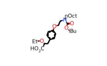 CCCCCCCCN(CCOc1ccc(CC(OCC)C(=O)O)cc1)C(=O)OC(C)CC